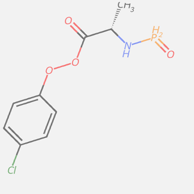 C[C@H](N[PH2]=O)C(=O)OOc1ccc(Cl)cc1